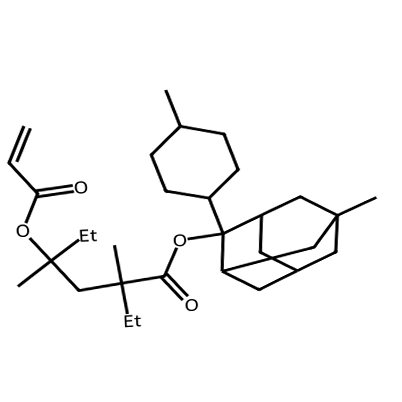 C=CC(=O)OC(C)(CC)CC(C)(CC)C(=O)OC1(C2CCC(C)CC2)C2CC3CC1CC(C)(C3)C2